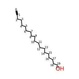 C#CCCCCCCCCCCCCCCCCCCO